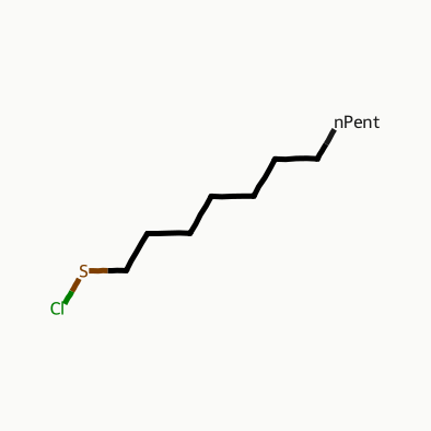 CCCCCCCCCCCCSCl